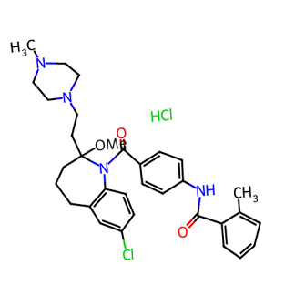 COC1(CCN2CCN(C)CC2)CCCc2cc(Cl)ccc2N1C(=O)c1ccc(NC(=O)c2ccccc2C)cc1.Cl